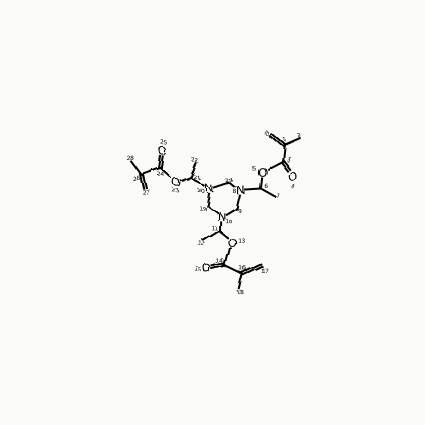 C=C(C)C(=O)OC(C)N1CN(C(C)OC(=O)C(=C)C)CN(C(C)OC(=O)C(=C)C)C1